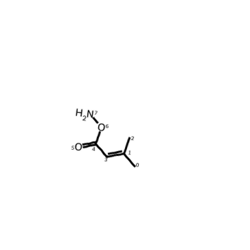 CC(C)=CC(=O)ON